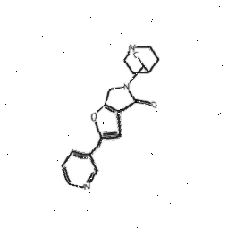 O=C1c2cc(-c3cccnc3)oc2CN1C1CN2CCC1CC2